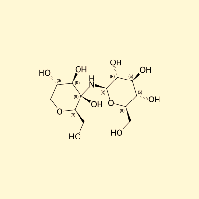 OC[C@H]1O[C@@H](N[C@@]2(O)[C@H](O)[C@@H](O)CO[C@@H]2CO)[C@H](O)[C@@H](O)[C@@H]1O